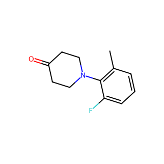 Cc1cccc(F)c1N1CCC(=O)CC1